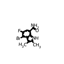 Cc1[nH]c2c(C(N)=O)cc(F)c(Br)c2c1C